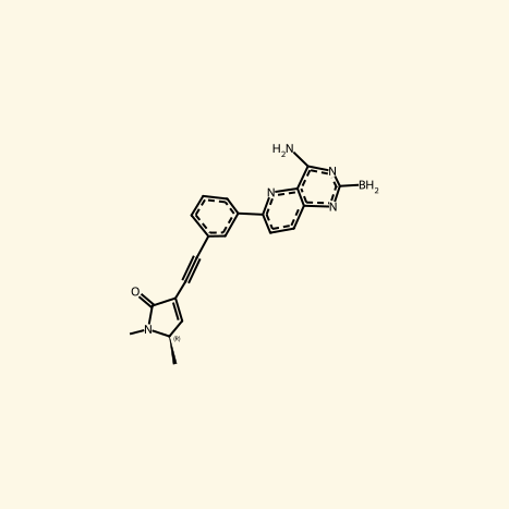 Bc1nc(N)c2nc(-c3cccc(C#CC4=C[C@@H](C)N(C)C4=O)c3)ccc2n1